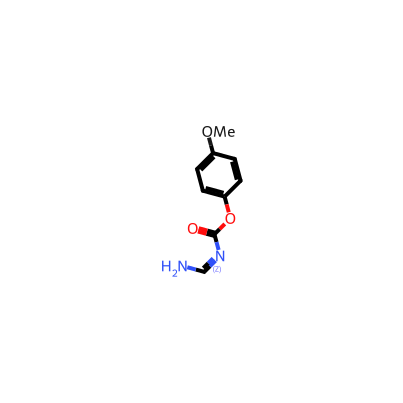 COc1ccc(OC(=O)/N=C\N)cc1